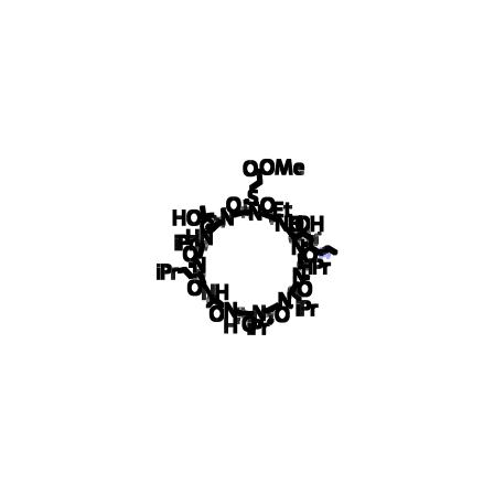 C/C=C/C[C@@H](C)[C@@H](O)[C@H]1C(=O)N[C@H](CC)C(=O)N(C)[C@@H](CSCCC(=O)OC)C(=O)N(C)[C@@H](CC(C)(C)O)C(=O)N[C@H](C(C)C)C(=O)N(C)[C@H](CCC(C)C)C(=O)N[C@H](C)C(=O)N[C@@H](C)C(=O)N(C)[C@@H](CC(C)C)C(=O)N(C)[C@H](CC(C)C)C(=O)N(C)[C@H](C(C)C)C(=O)N1C